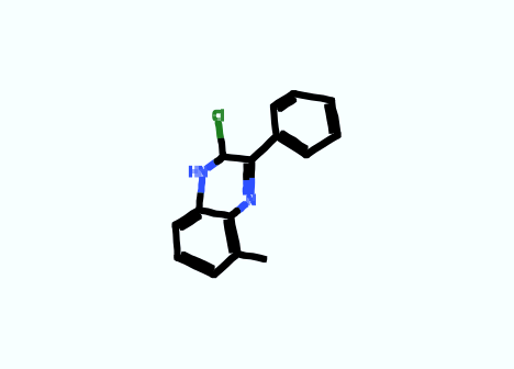 Cc1cccc2c1N=C(c1ccccc1)C(Cl)N2